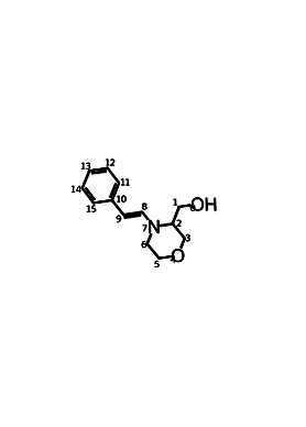 OCC1COCCN1C=Cc1ccccc1